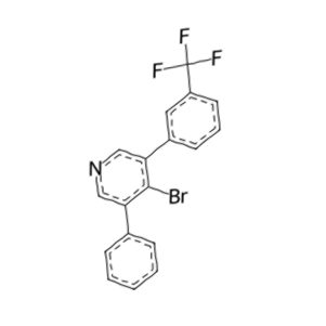 FC(F)(F)c1cccc(-c2cncc(-c3ccccc3)c2Br)c1